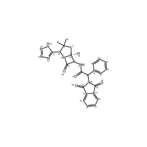 CC1(C)S[C@H]2C(NC(=O)C(c3ccccc3)N3C(=O)c4ccccc4C3=O)C(=O)N2C1c1nnn[nH]1